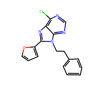 Clc1ncnc2c1nc(-c1ccco1)n2CCc1ccccc1